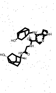 O=C(CNC(=O)c1cnc2[nH]ccc2c1N[C@H]1C2CC3CC1C[C@@](O)(C3)C2)N[C@H]1C2CC3CC1C[C@@](O)(C3)C2